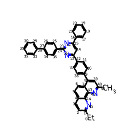 CCc1ccc2ccc3c(-c4ccc(-c5cc(-c6ccccc6)nc(-c6ccc(-c7ccccc7)cc6)n5)cc4)cc(C)nc3c2n1